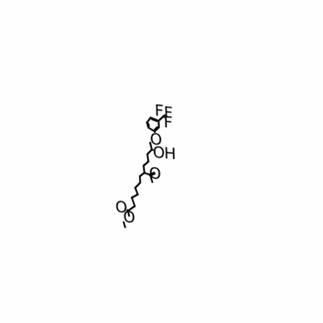 CCOC(=O)CCCCCCC(CCCC(O)COc1cccc(C(F)(F)F)c1)C(C)=O